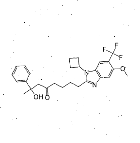 COc1cc2nc(CCCCC(=O)CC(C)(O)c3ccccc3)n(C3CCC3)c2cc1C(F)(F)F